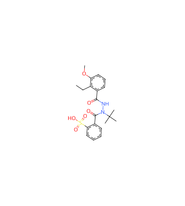 CCc1c(OC)cccc1C(=O)NN(C(=O)c1ccccc1S(=O)(=O)O)C(C)(C)C